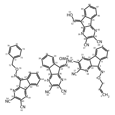 C=CCO/N=C1/c2ccccc2-c2nc(C#N)c(C#N)nc21.CO/N=C1\c2ccccc2-c2nc(C#N)c(C#N)nc21.N#Cc1nc2c(nc1C#N)-c1ccccc1/C2=N\O.N#Cc1nc2c(nc1C#N)-c1ccccc1/C2=N\OCc1ccccc1